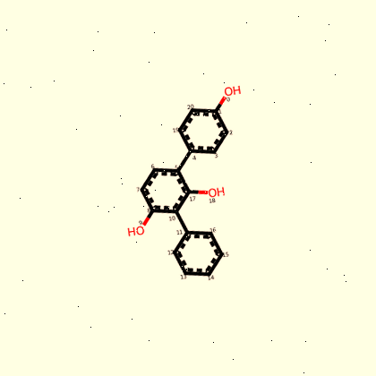 Oc1ccc(-c2ccc(O)c(-c3ccccc3)c2O)cc1